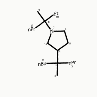 CCCCC(C)(CCC)C1CCN(C(C)(CC)CCC)C1